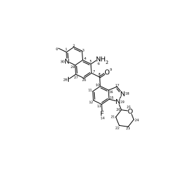 Cc1ccc2c(N)c(C(=O)c3ccc(F)c4c3cnn4C3CCCCO3)cc(I)c2n1